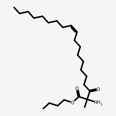 CCCCCCCC/C=C\CCCCCCCC(=O)C(C)(N)C(=O)OCCCC